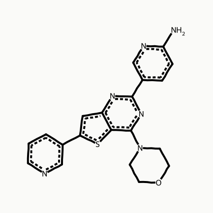 Nc1ccc(-c2nc(N3CCOCC3)c3sc(-c4cccnc4)cc3n2)cn1